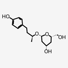 C[C@@H](CCc1ccc(O)cc1)O[C@H]1C[C@@H](O)C[C@@H](CO)O1